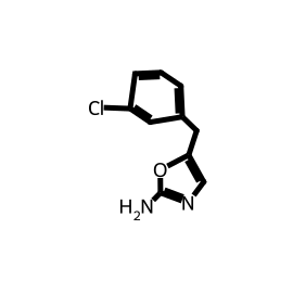 Nc1ncc(Cc2cccc(Cl)c2)o1